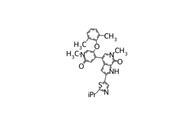 Cc1cccc(C)c1Oc1cn(C)c(=O)cc1-c1cn(C)c(=O)c2[nH]c(-c3cnc(C(C)C)s3)cc12